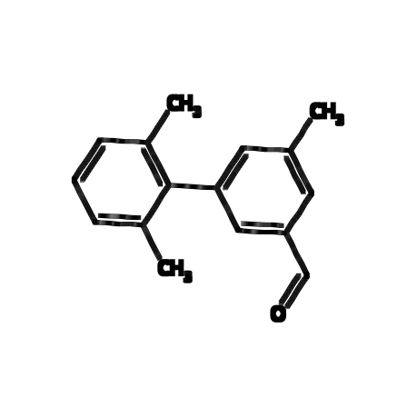 Cc1cc(C=O)cc(-c2c(C)cccc2C)c1